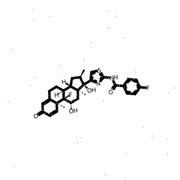 C[C@@H]1C[C@H]2[C@@H]3CCC4=CC(=O)C=C[C@]4(C)[C@@]3(F)[C@@H](O)C[C@]2(C)[C@@]1(O)c1csc(NC(=O)c2ccc(F)cc2)n1